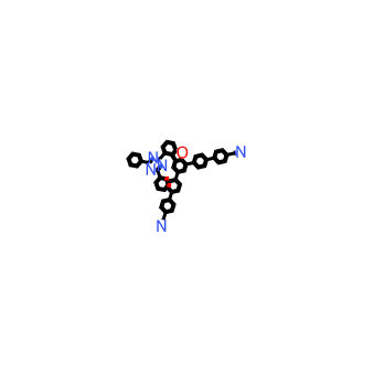 N#Cc1ccc(-c2ccc(-c3cc(-c4ccc(-c5ccc(C#N)cc5)cc4)c4oc5cccc(-c6nc(-c7ccccc7)nc(-c7ccccc7)n6)c5c4c3)cc2)cc1